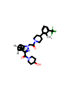 Cc1c(C2CCN(C(=O)Cn3nc(C(=O)N4CCC(O)CC4)c4c3C3[C@@H]5[C@H]4[C@]35C)CC2)cccc1C(F)(F)F